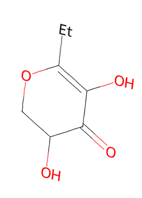 CCC1=C(O)C(=O)C(O)CO1